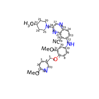 COc1ccc(COc2ccc(Nc3ccc4ncc(N5CCC(C)CC5)nc4c3C#N)cc2OC)cn1